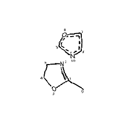 CC1=NCCO1.c1cocn1